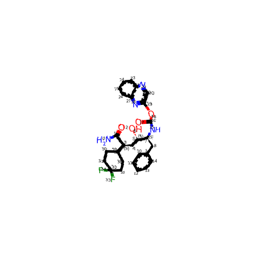 NC(=O)[C@@H](C[C@H](O)[C@H](Cc1ccccc1)NC(=O)Oc1cnc2ccccc2n1)C1CCC(F)(F)CC1